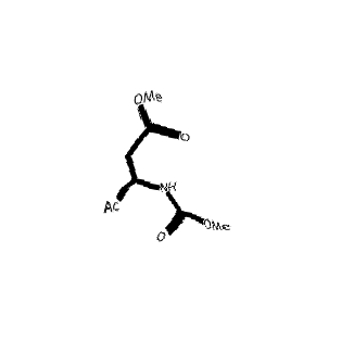 COC(=O)CC(NC(=O)OC)C(C)=O